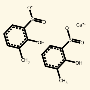 Cc1cccc(S(=O)[O-])c1O.Cc1cccc(S(=O)[O-])c1O.[Ca+2]